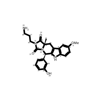 COc1ccc2[nH]c3c(c2c1)C[C@@]1(C)C(=O)N(CCCN)C(=O)N1[C@@H]3c1cccc(O)c1